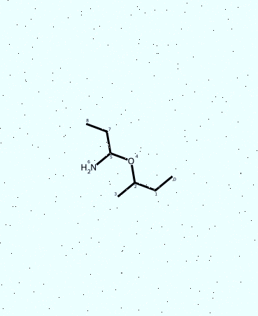 CCC(C)OC(N)CC